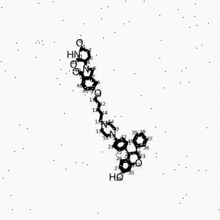 O=C1CCC(N2Cc3cc(OCCCCCN4CCN(c5ccc([C@@H]6c7ccc(O)cc7OC[C@@H]6c6ccccc6)cc5)CC4)ccc3C2=O)C(=O)N1